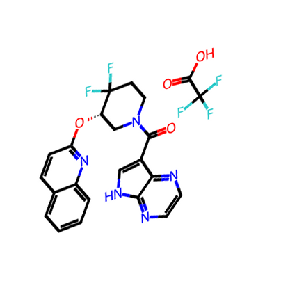 O=C(O)C(F)(F)F.O=C(c1c[nH]c2nccnc12)N1CCC(F)(F)[C@@H](Oc2ccc3ccccc3n2)C1